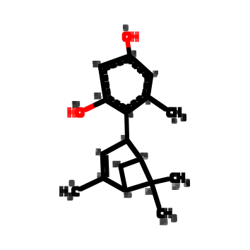 CC1=CC(c2c(C)cc(O)cc2O)C2CC1C2(C)C